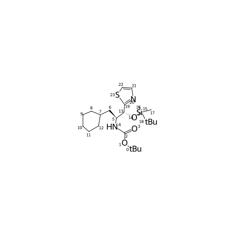 CC(C)(C)OC(=O)N[C@@H](CC1CCCCC1)[C@@H](O[Si](C)(C)C(C)(C)C)c1nccs1